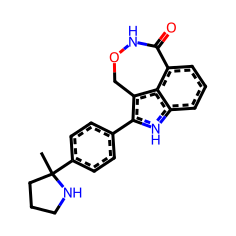 CC1(c2ccc(-c3[nH]c4cccc5c4c3CONC5=O)cc2)CCCN1